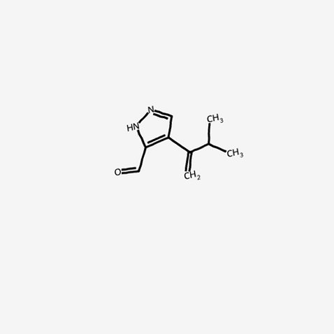 C=C(c1cn[nH]c1C=O)C(C)C